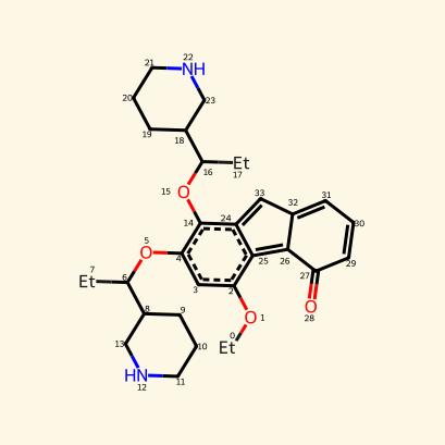 CCOc1cc(OC(CC)C2CCCNC2)c(OC(CC)C2CCCNC2)c2c1=C1C(=O)C=CC=C1C=2